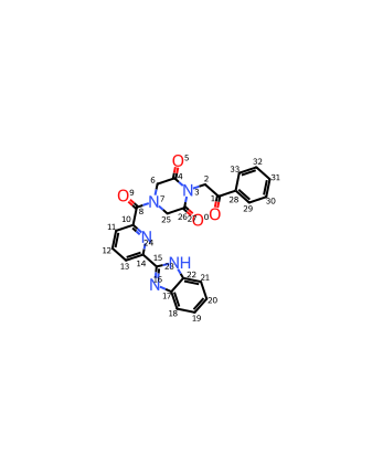 O=C(CN1C(=O)CN(C(=O)c2cccc(-c3nc4ccccc4[nH]3)n2)CC1=O)c1ccccc1